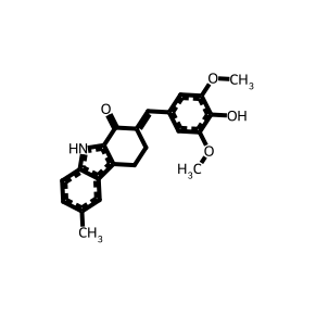 COc1cc(/C=C2\CCc3c([nH]c4ccc(C)cc34)C2=O)cc(OC)c1O